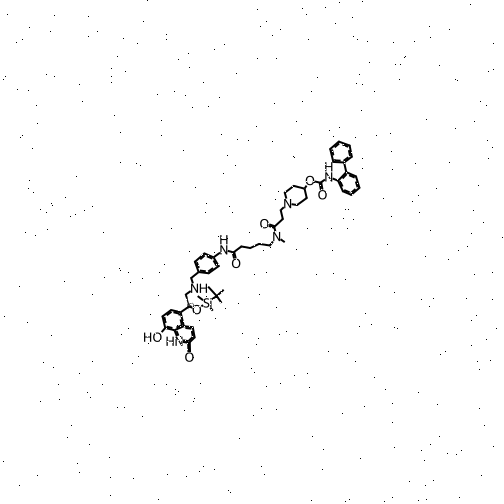 CN(CCCCC(=O)Nc1ccc(CNC[C@@H](O[Si](C)(C)C(C)(C)C)c2ccc(O)c3[nH]c(=O)ccc23)cc1)C(=O)CCN1CCC(OC(=O)Nc2ccccc2-c2ccccc2)CC1